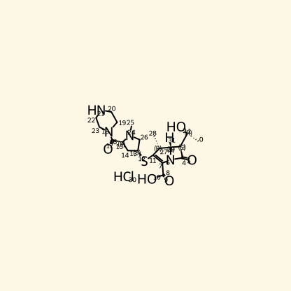 C[C@@H](O)[C@H]1C(=O)N2C(C(=O)O)=C(S[C@H]3C[C@@H](C(=O)N4CCNCC4)N(C)C3)[C@H](C)[C@H]12.Cl